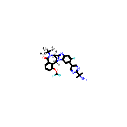 BC(B)(B)N1C(=O)c2cccc(OC(F)F)c2[C@H]2C[C@@H]1c1nc3cc(F)c(-c4cnc(C(C)(C)N)nc4)cc3n12